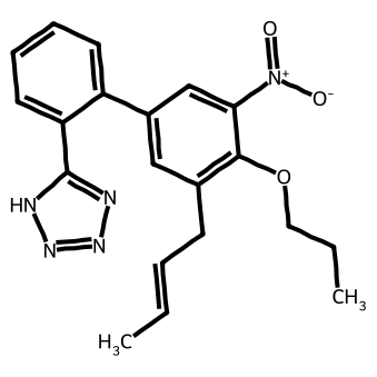 CC=CCc1cc(-c2ccccc2-c2nnn[nH]2)cc([N+](=O)[O-])c1OCCC